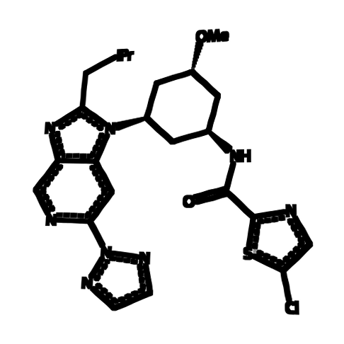 CO[C@@H]1C[C@@H](NC(=O)c2ncc(Cl)s2)C[C@@H](n2c(CC(C)C)nc3cnc(-n4nccn4)cc32)C1